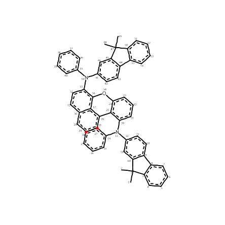 CC1(C)c2ccccc2-c2ccc(N(c3ccccc3)c3cccc4c3-c3cccc5ccc(N(c6ccccc6)c6ccc7c(c6)C(C)(C)c6ccccc6-7)c(c35)O4)cc21